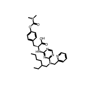 CCCCC(CC)CN(Cc1ccccn1)c1ncnc(N[C@@H](Cc2ccc(OC(=O)N(C)C)cc2)C(=O)O)n1